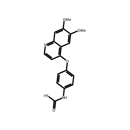 COc1cc2nccc(Oc3ccc(NC(=O)S)cc3)c2cc1OC